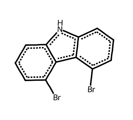 Brc1cccc2[nH]c3cccc(Br)c3c12